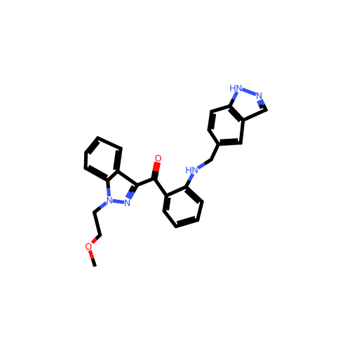 COCCn1nc(C(=O)c2ccccc2NCc2ccc3[nH]ncc3c2)c2ccccc21